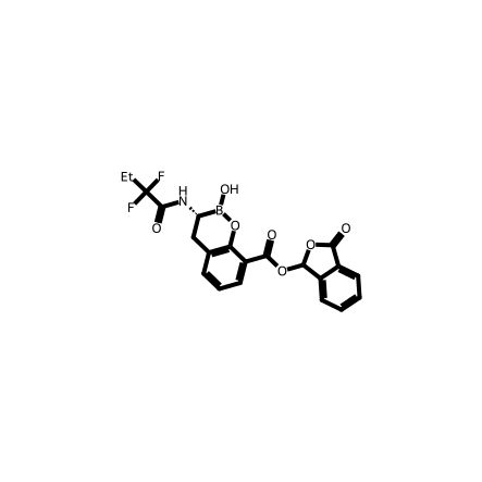 CCC(F)(F)C(=O)N[C@H]1Cc2cccc(C(=O)OC3OC(=O)c4ccccc43)c2OB1O